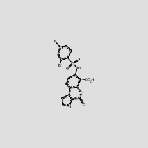 O=C(O)c1c(NS(=O)(=O)c2ccc(F)cc2Br)ccc2c1oc(=O)c1occc12